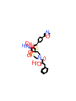 O=C(CC1(c2ccc(-c3ccc(-c4cnco4)cc3)s2)CCN(C(=O)[C@@H](O)Cc2ccccc2)CCS1(=O)=O)NO